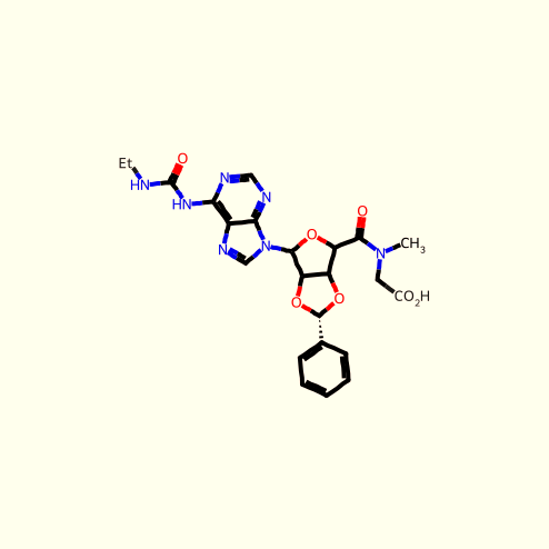 CCNC(=O)Nc1ncnc2c1ncn2C1OC(C(=O)N(C)CC(=O)O)C2O[C@H](c3ccccc3)OC21